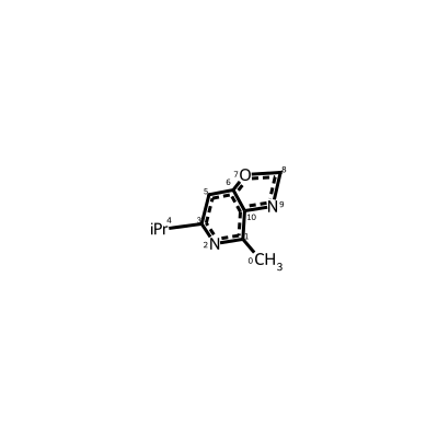 Cc1nc(C(C)C)cc2ocnc12